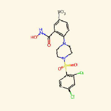 O=C(NO)c1cc([N+](=O)[O-])ccc1N1CCN(S(=O)(=O)c2ccc(Cl)cc2Cl)CC1